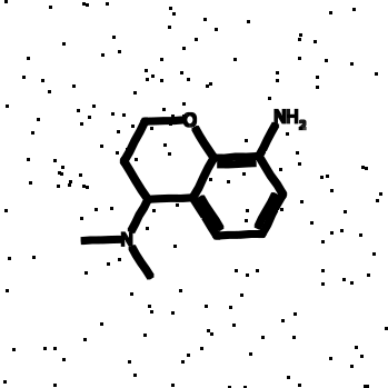 CN(C)C1CCOc2c(N)cccc21